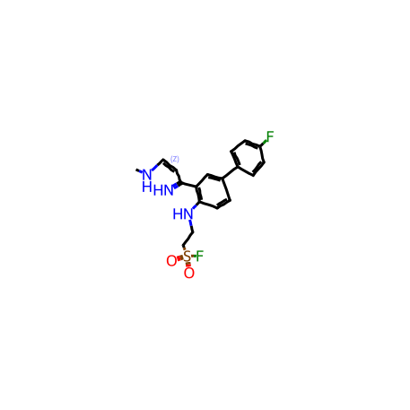 CN/C=C\C(=N)c1cc(-c2ccc(F)cc2)ccc1NCCS(=O)(=O)F